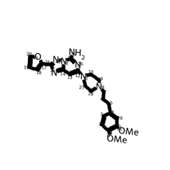 COc1ccc(CCCN2CCN(c3cc4nc(-c5ccco5)nn4c(N)n3)CC2)cc1OC